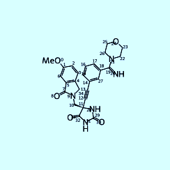 COc1ccc2c(c1)C(=O)N(C[C@@]1(C#Cc3cccc(C(=N)N4CCOCC4)c3)NC(=O)NC1=O)C2